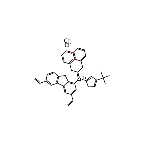 C=Cc1ccc2c(c1)-c1cc(C=C)c[c]([Zr+2]([C]3=CC(C(C)(C)C)=CC3)=[C](Cc3ccccc3)Cc3ccccc3)c1C2.[Cl-].[Cl-]